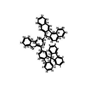 c1ccc2c(c1)-c1ccccc1C21c2ccccc2-c2ccc(-c3nc(-n4c5cc6ccccc6cc5c5c6ccccc6ccc54)nc4c3sc3ccccc34)cc21